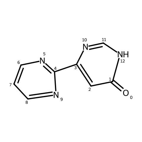 O=c1cc(-c2ncccn2)nc[nH]1